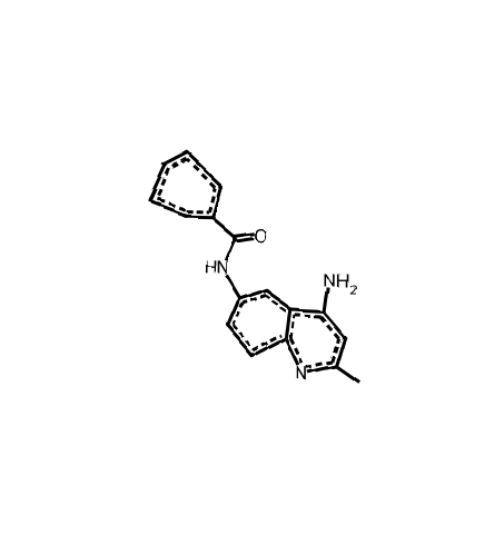 Cc1cc(N)c2cc(NC(=O)c3ccccc3)ccc2n1